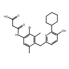 Cc1cc(NC(=O)CC(=O)O)c(Br)c(C)c1Cc1ccc(O)c(C2CCCCC2)n1